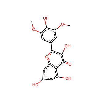 COc1cc(-c2oc3cc(O)cc(O)c3c(=O)c2O)cc(OC)c1O